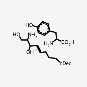 CCCCCCCCCCCCC/C=C/C(O)C(N)CO.NC(Cc1ccc(O)cc1)C(=O)O